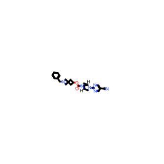 N#Cc1cnc(N2C[C@@H]3C[C@H]2CN3C(=O)OC2CC3(C2)CN(Cc2ccccc2)C3)nc1